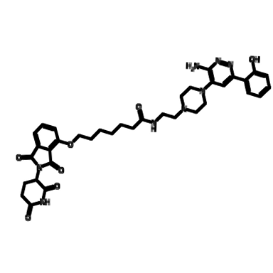 Nc1nnc(-c2ccccc2O)cc1N1CCN(CCNC(=O)CCCCCCOc2cccc3c2C(=O)N(C2CCC(=O)NC2=O)C3=O)CC1